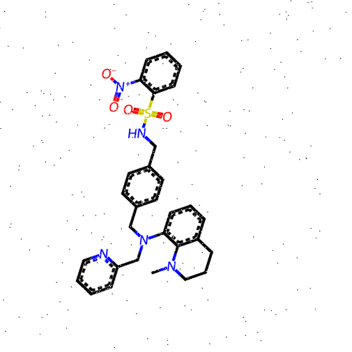 CN1CCCc2cccc(N(Cc3ccc(CNS(=O)(=O)c4ccccc4[N+](=O)[O-])cc3)Cc3ccccn3)c21